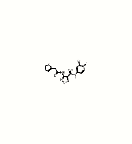 N=C(Nc1ccc(F)c(Br)c1)c1nonc1NC(=O)Cc1cccs1